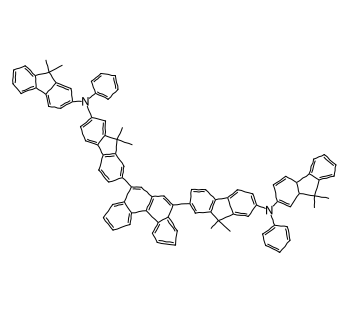 CC1(C)c2cc(-c3cc4cc(-c5ccc6c(c5)C(C)(C)c5cc(N(c7ccccc7)c7ccc8c(c7)C(C)(C)c7ccccc7-8)ccc5-6)c5ccccc5c4c4ccccc34)ccc2-c2ccc(N(C3=CC4C(C=C3)c3ccccc3C4(C)C)c3ccccc3)cc21